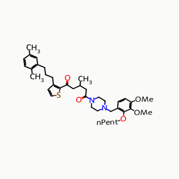 CCCCCOc1c(CN2CCN(C(=O)CC(C)CC(=O)c3sccc3CCCc3cc(C)ccc3C)CC2)ccc(OC)c1OC